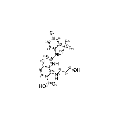 O=C(O)c1ccc(Cl)c(NC(=S)Nc2ccc(Cl)cc2C(F)(F)F)c1NCCCO